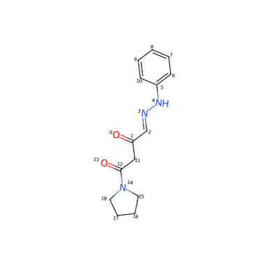 O=C(C=NNc1ccccc1)CC(=O)N1CCCC1